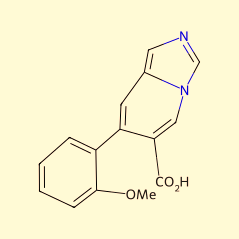 COc1ccccc1-c1cc2cncn2cc1C(=O)O